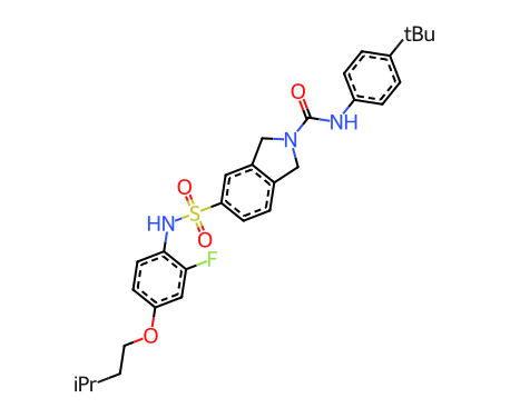 CC(C)CCOc1ccc(NS(=O)(=O)c2ccc3c(c2)CN(C(=O)Nc2ccc(C(C)(C)C)cc2)C3)c(F)c1